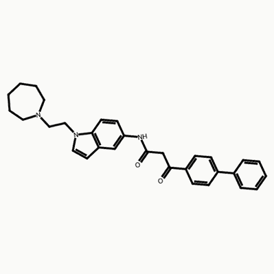 O=C(CC(=O)c1ccc(-c2ccccc2)cc1)Nc1ccc2c(ccn2CCN2CCCCCC2)c1